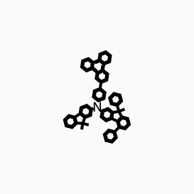 CC1(C)c2ccccc2-c2ccc(N(c3ccc(-c4ccc5c6ccccc6c6ccccc6c5c4)cc3)c3ccc4c(c3)C(C)(c3ccccc3)c3cccc(-c5ccccc5)c3-4)cc21